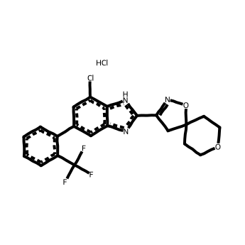 Cl.FC(F)(F)c1ccccc1-c1cc(Cl)c2[nH]c(C3=NOC4(CCOCC4)C3)nc2c1